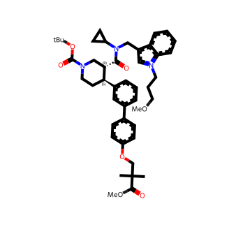 COCCCn1cc(CN(C(=O)[C@H]2CN(C(=O)OC(C)(C)C)CC[C@@H]2c2cccc(-c3ccc(OCC(C)(C)C(=O)OC)cc3)c2)C2CC2)c2ccccc21